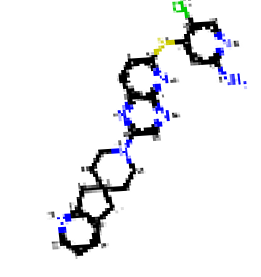 Nc1cc(Sc2ccc3nc(N4CCC5(CC4)Cc4cccnc4C5)cnc3n2)c(Cl)cn1